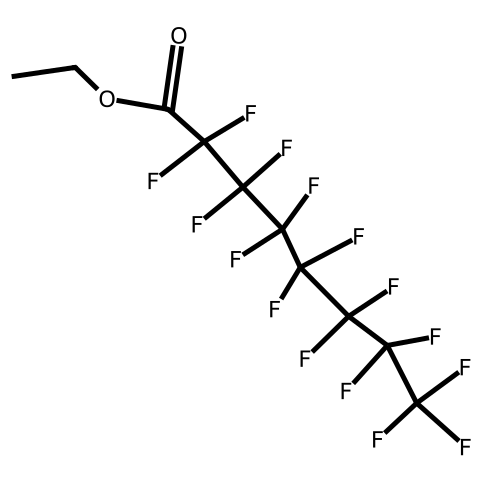 CCOC(=O)C(F)(F)C(F)(F)C(F)(F)C(F)(F)C(F)(F)C(F)(F)C(F)(F)F